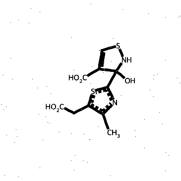 Cc1nc(C2(O)NS[C]=C2C(=O)O)sc1CC(=O)O